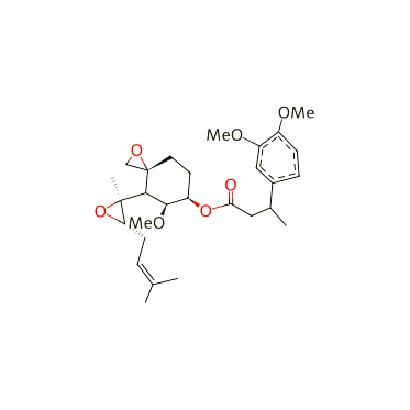 COc1ccc(C(C)CC(=O)O[C@@H]2CC[C@]3(CO3)C([C@]3(C)O[C@H]3CC=C(C)C)[C@@H]2OC)cc1OC